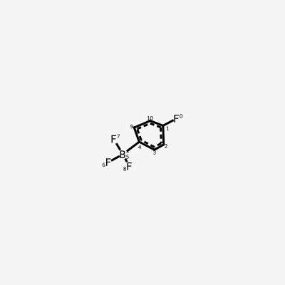 Fc1ccc([B-](F)(F)F)cc1